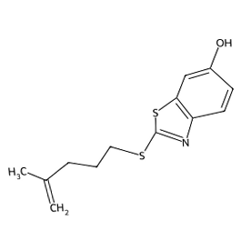 C=C(C)CCCSc1nc2ccc(O)cc2s1